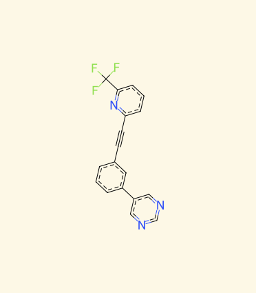 FC(F)(F)c1cccc(C#Cc2cccc(-c3cncnc3)c2)n1